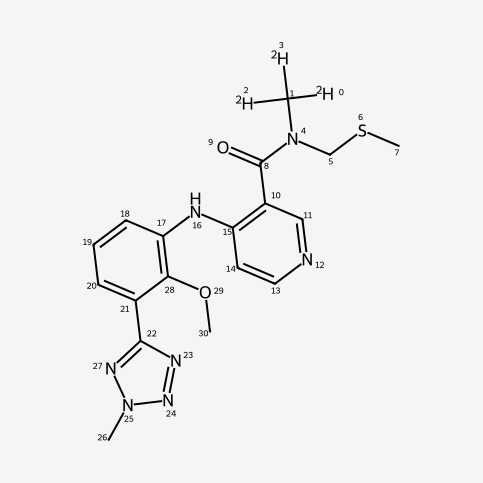 [2H]C([2H])([2H])N(CSC)C(=O)c1cnccc1Nc1cccc(-c2nnn(C)n2)c1OC